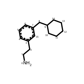 NCCc1cccc(CC2CC[CH]CC2)c1